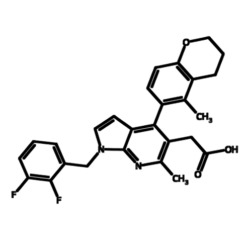 Cc1nc2c(ccn2Cc2cccc(F)c2F)c(-c2ccc3c(c2C)CCCO3)c1CC(=O)O